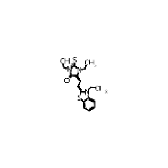 CCN1C(=O)C(=CC=C2Sc3ccccc3N2CC)N(CC)C1=S